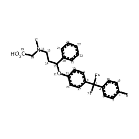 Cc1ccc(C(F)(F)c2ccc(OC(CCN(C)CC(=O)O)c3ccccc3)cc2)cc1